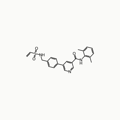 C=CS(=O)(=O)NCc1ccc(-c2cncc(C(=O)Nc3c(C)cccc3C)c2)cc1